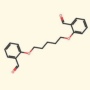 O=Cc1ccccc1OCCCCCOc1ccccc1C=O